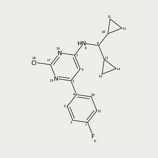 Fc1ccc(-c2cc(NC(C3CC3)C3CC3)nc(Cl)n2)cc1